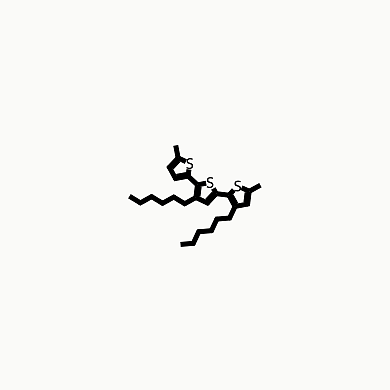 CCCCCCc1cc(C)sc1-c1cc(CCCCCC)c(-c2ccc(C)s2)s1